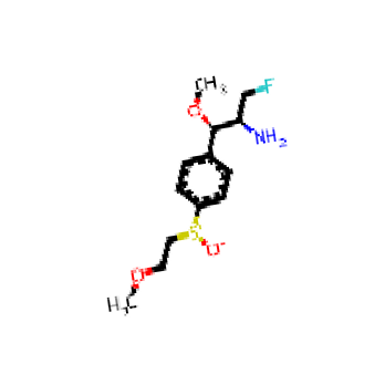 COCC[S+]([O-])c1ccc([C@@H](OC)[C@H](N)CF)cc1